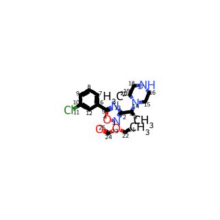 CC(c1noc(-c2cccc(Cl)c2)n1)N1CCNC[C@H]1C.CCOC=O